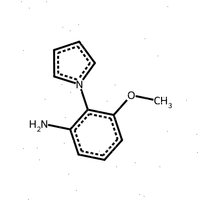 COc1cccc(N)c1-n1cccc1